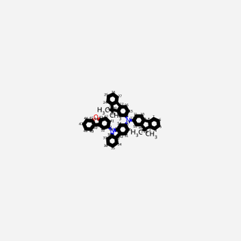 CC1(C)c2ccccc2-c2ccc(N(c3ccc4c(c3)C(C)(C)c3ccccc3-4)c3ccc4c5ccccc5n(-c5ccc6oc7ccccc7c6c5)c4c3)cc21